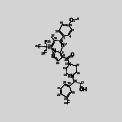 COc1ccc(-c2nc3c(C(=O)N4CCN([C@H](CO)c5cccc(F)c5)CC4)cnn3c(C(F)(F)F)c2C)cc1